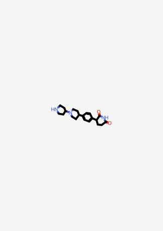 O=C1CCC(c2ccc(C3CCN(C4CCNCC4)CC3)cc2)C(=O)N1